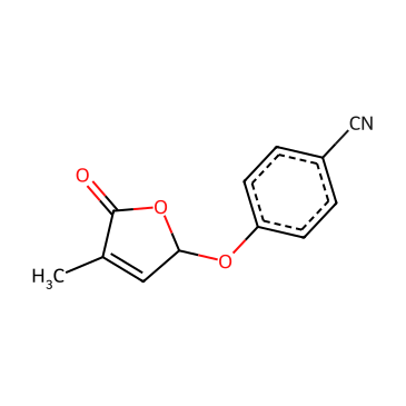 CC1=CC(Oc2ccc(C#N)cc2)OC1=O